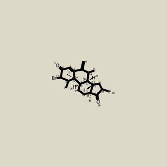 C=C1C2=CC(=O)C(Br)C(C)[C@]2(C)[C@@H]2CC[C@]3(C)C(=O)C(F)C[C@H]3[C@@H]2C1C